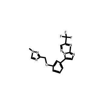 Cn1cnc(COc2cccc(-c3cnc4nc(C(F)(F)F)cnn34)c2)n1